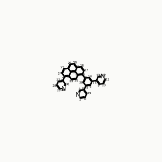 c1cncc(-c2cc(-c3cccnc3)cc(-c3ccc4ccc5ccc(-c6cccnc6)c6ccc3c4c56)c2)c1